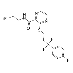 CC(C)CCNC(=O)c1nccnc1SCCC(F)(F)c1ccc(F)cc1